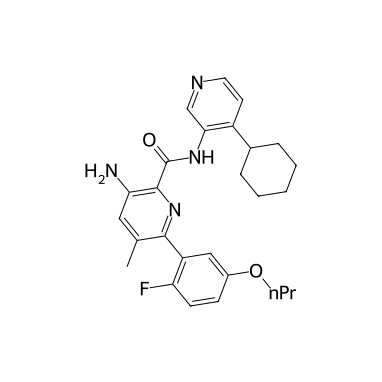 CCCOc1ccc(F)c(-c2nc(C(=O)Nc3cnccc3C3CCCCC3)c(N)cc2C)c1